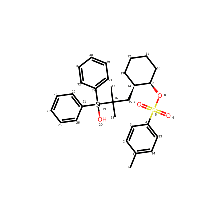 Cc1ccc(S(=O)(=O)O[C@@H]2CCCC[C@@H]2CC(C)(C)[Si](O)(c2ccccc2)c2ccccc2)cc1